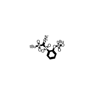 CCCCS(=O)(=O)Oc1ccccc1S(=O)(=O)C(=[N+]=[N-])S(=O)(=O)C(C)(C)C